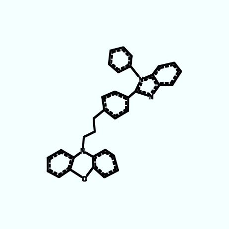 c1ccc(-n2c(-c3ccc(CCCN4c5ccccc5Oc5ccccc54)cc3)nc3ccccc32)cc1